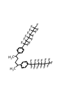 C[C](CCC(C)c1ccc(C(F)(F)C(F)(F)C(F)(F)C(F)(F)C(F)(F)C(F)(F)F)cc1)c1ccc(C(F)(F)C(F)(F)C(F)(F)C(F)(F)C(F)(F)C(F)(F)F)cc1